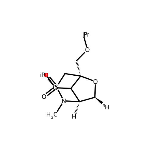 [3H][C@@H]1O[C@]2(COC(C)C)CS(=O)(=O)N(C)[C@H]1C2OC(C)C